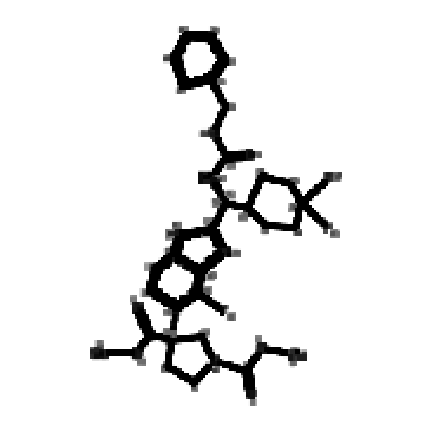 CC(C)(C)OC(=O)N1CC[C@](C(=O)OC(C)(C)C)(c2ccc3[nH]c([C@@H](NC(=O)OCc4ccccc4)C4CCC(F)(F)CC4)nc3c2F)C1